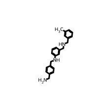 Cc1cccc(CNCc2cccc(NCc3ccc(CN)cc3)c2)c1